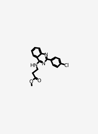 COC(=O)CCNc1nc(-c2ccc(Cl)cc2)nc2ccccc12